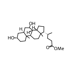 COC(=O)CCC(C)[C@H]1CC[C@H]2[C@H]3C(O)C[C@@H]4C[C@H](O)CCC4(C)C3CCC12C